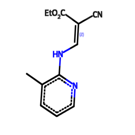 CCOC(=O)/C(C#N)=C\Nc1ncccc1C